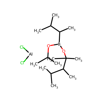 CC(C)OB(OC(C)(C)C(C)C(C)C)C(C)C(C)C.[Cl][Al][Cl]